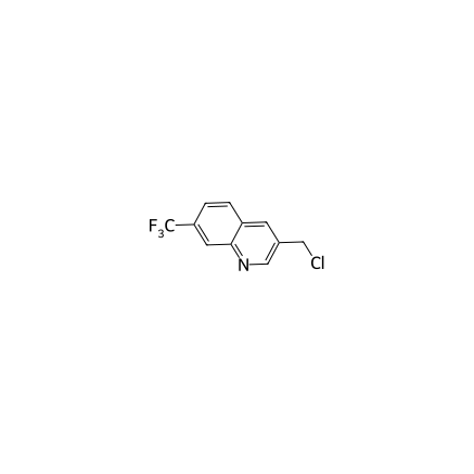 FC(F)(F)c1ccc2cc(CCl)cnc2c1